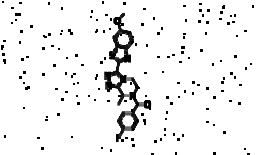 COc1ccc2nc(-c3nnc4n3CCN(C(=O)c3ccc(F)cc3)C4C)sc2c1